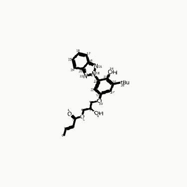 CC=CC(=O)OCC(O)COc1cc(-n2nc3ccccc3n2)c(O)c(C(C)(C)C)c1